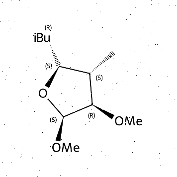 CC[C@@H](C)[C@@H]1O[C@H](OC)[C@H](OC)[C@H]1C